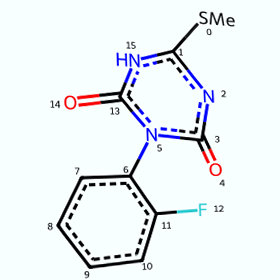 CSc1nc(=O)n(-c2ccccc2F)c(=O)[nH]1